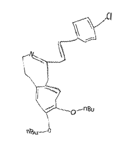 CCCCOc1cc2c(cc1OCCCC)C(/C=C/c1ccc(Cl)cc1)=NCC2